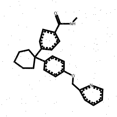 CNC(=O)c1ccc(C2(c3ccc(OCc4ccccn4)cc3)CCCCC2)cc1